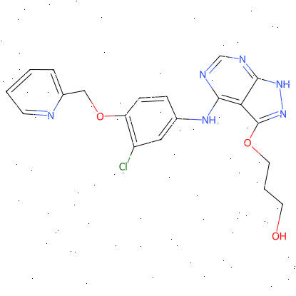 OCCCOc1n[nH]c2ncnc(Nc3ccc(OCc4ccccn4)c(Cl)c3)c12